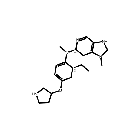 CC[C@H]1CC(OC2CCNC2)=CC=C1N(C)[C@@H]1CC2=C(C=N1)NCN2C